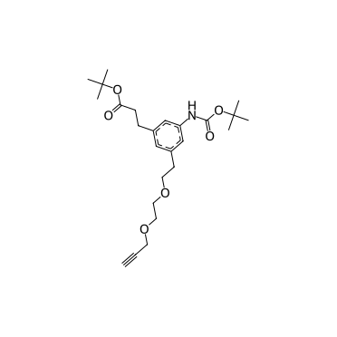 C#CCOCCOCCc1cc(CCC(=O)OC(C)(C)C)cc(NC(=O)OC(C)(C)C)c1